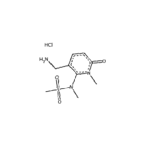 CN(c1c(CN)ccc(=O)n1C)S(C)(=O)=O.Cl